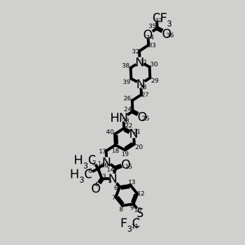 CC1(C)C(=O)N(c2ccc(SC(F)(F)F)cc2)C(=O)N1Cc1ccnc(NC(=O)CCN2CCN(CCOC(=O)C(F)(F)F)CC2)c1